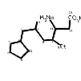 CCC(CC(C)CC1CCCC1)C(N)CC(=O)O